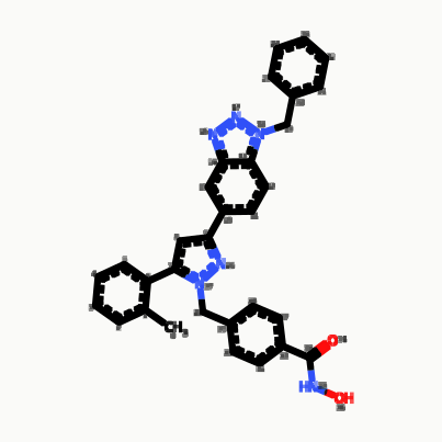 Cc1ccccc1-c1cc(-c2ccc3c(c2)nnn3Cc2ccccc2)nn1Cc1ccc(C(=O)NO)cc1